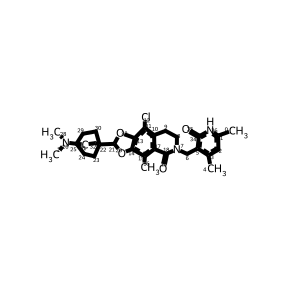 Cc1cc(C)c(CN2CCc3c(Cl)c4c(c(C)c3C2=O)OC(C23CCC(N(C)C)(CC2)CC3)O4)c(=O)[nH]1